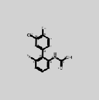 O=C(O)Nc1cccc(F)c1-c1ccc(F)c(Cl)c1